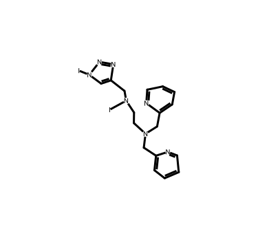 IN(CCN(Cc1ccccn1)Cc1ccccn1)Cc1cn(I)nn1